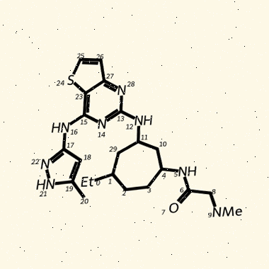 CCC1CCC(NC(=O)CNC)CC(Nc2nc(Nc3cc(C)[nH]n3)c3sccc3n2)C1